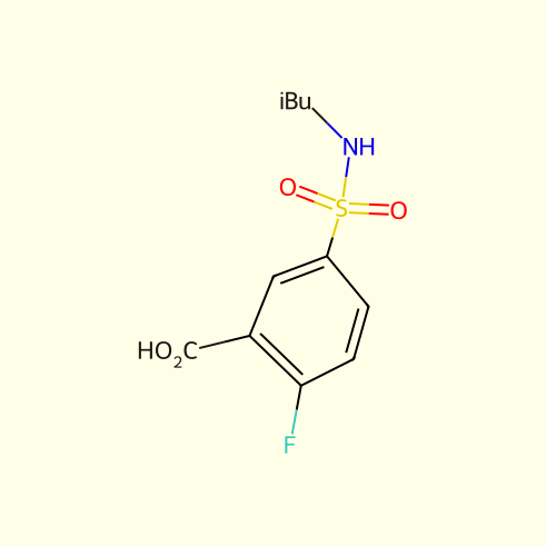 CCC(C)NS(=O)(=O)c1ccc(F)c(C(=O)O)c1